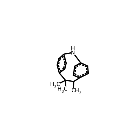 CC1c2ccc(cc2)Nc2ccc(cc2)C1(C)C